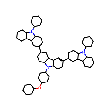 C1=C(C2CCC3C(C2)C2CCCCC2N3C2CCCCC2)CCC2C1C1CC(C3CCC4C(C3)C3CCCCC3N4C3CCCCC3)CCC1N2C1CCC(OC2CCCCC2)CC1